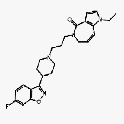 CCn1ccc2c1C=CCN(CCCN1CCC(c3noc4cc(F)ccc34)CC1)C2=O